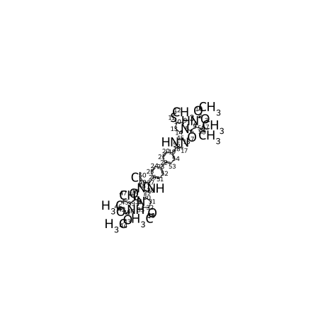 COC(=O)N[C@H](C(=O)N1C[C@@H](SC)C[C@H]1c1ncc(-c2ccc(-c3ccc(-c4[nH]c([C@@H]5C[C@H](OC)CN5C(=O)[C@@H](NC(=O)OC)C(C)C)nc4Cl)cc3)cc2)[nH]1)C(C)C